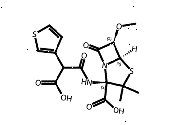 CO[C@@H]1C(=O)N2[C@@H]1SC(C)(C)[C@]2(NC(=O)C(C(=O)O)c1ccsc1)C(=O)O